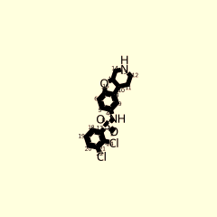 O=S(=O)(Nc1ccc2c(c1)C1CCNCC1O2)c1cccc(Cl)c1Cl